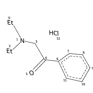 CCN(CC)CC(=O)c1ccccc1.Cl